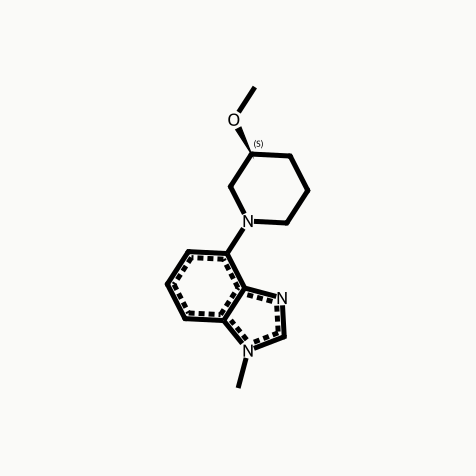 CO[C@H]1CCCN(c2cccc3c2ncn3C)C1